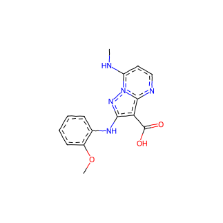 CNc1ccnc2c(C(=O)O)c(Nc3ccccc3OC)nn12